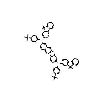 CC(C)(C)c1ccc(N(C2=CC3Oc4cc5cc(N(C6=CCC(C(C)(C)C)C=C6)C6=CC7C(CC6)C6=C(CCC=C6)C7(C)C)ccc5cc4C3C=C2)c2ccc3c(c2)C(C)(C)C2=C3CCC=C2)cc1